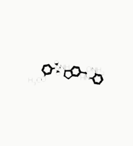 COc1cccc(S(=O)(=O)NC2CCc3cc(C(=O)Nc4ccccc4N)ccc32)c1